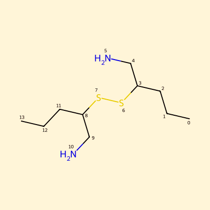 CCCC(CN)SSC(CN)CCC